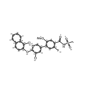 COc1cc(C(=O)NS(C)(=O)=O)c(F)cc1-c1cnc(Oc2ccc3ccccc3c2Cl)c(Cl)c1